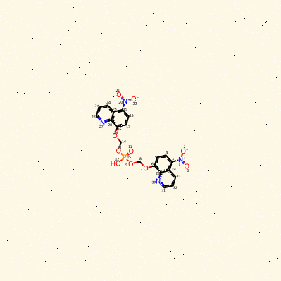 O=[N+]([O-])c1ccc(OCOP(=O)(O)OCOc2ccc([N+](=O)[O-])c3cccnc23)c2ncccc12